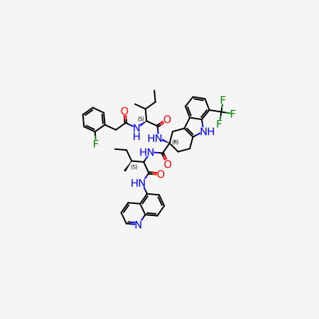 CCC(C)[C@H](NC(=O)Cc1ccccc1F)C(=O)N[C@]1(C(=O)NC(C(=O)Nc2cccc3ncccc23)[C@@H](C)CC)CCc2[nH]c3c(C(F)(F)F)cccc3c2C1